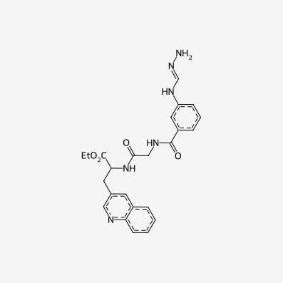 CCOC(=O)C(Cc1cnc2ccccc2c1)NC(=O)CNC(=O)c1cccc(NC=NN)c1